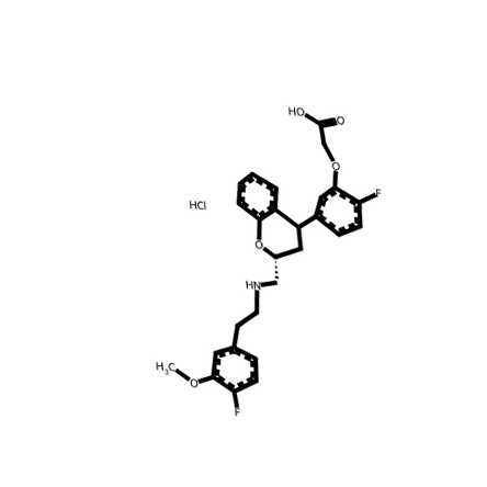 COc1cc(CCNC[C@H]2CC(c3ccc(F)c(OCC(=O)O)c3)c3ccccc3O2)ccc1F.Cl